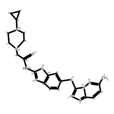 Cc1ccc2nnc(Sc3ccc4nc(NC(=O)CN5CCN(C6CC6)CC5)sc4c3)n2n1